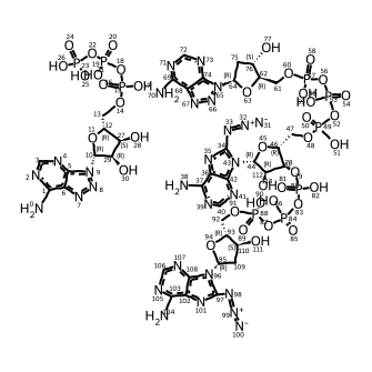 Nc1ncnc2c1nnn2[C@@H]1O[C@H](COP(=O)(O)OP(=O)(O)OP(=O)(O)O)[C@@H](O)[C@H]1O.[N-]=[N+]=Nc1nc2c(N)ncnc2n1[C@@H]1O[C@H](COP(=O)(O)OP(=O)(O)OP(=O)(O)OC[C@H]2O[C@@H](n3nnc4c(N)ncnc43)C[C@@H]2O)[C@@H](OP(=O)(O)OP(=O)(O)OP(=O)(O)OC[C@H]2O[C@@H](n3c(N=[N+]=[N-])nc4c(N)ncnc43)C[C@@H]2O)[C@H]1O